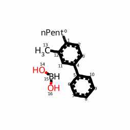 CCCCCc1ccc(-c2ccccc2)cc1C.OBO